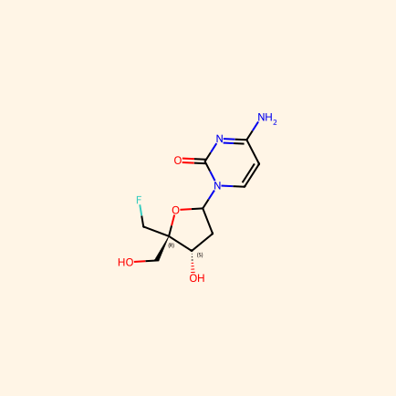 Nc1ccn(C2C[C@H](O)[C@](CO)(CF)O2)c(=O)n1